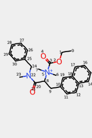 CCOC(=O)[N+](C)(C)C(Cc1ccc2ccccc2c1)C(=O)N(C)Cc1ccccc1